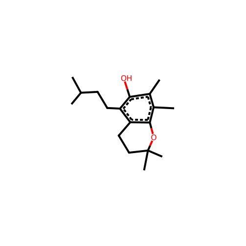 Cc1c(C)c2c(c(CCC(C)C)c1O)CCC(C)(C)O2